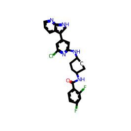 O=C(NC1CCC(Nc2cc(-c3c[nH]c4ncccc34)cc(Cl)n2)CC1)c1ccc(F)cc1F